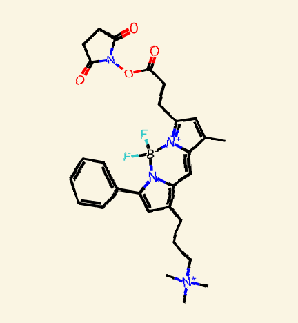 CC1=CC(CCC(=O)ON2C(=O)CCC2=O)=[N+]2C1=Cc1c(CCC[N+](C)(C)C)cc(-c3ccccc3)n1[B-]2(F)F